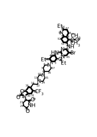 CCOc1cc(N2CCC(N3CCN(CCc4cc5oc(=O)n(C6CCC(=O)NC6=O)c5cc4C(F)(F)F)CC3)CC2)c(CC)cc1Nc1ncc(Br)c(Nc2ccc3nc(CC)ccc3c2P(C)(C)=O)n1